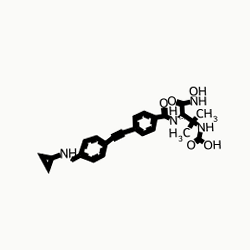 CC(C)(NC(=O)O)[C@H](NC(=O)c1ccc(C#Cc2ccc(CNC3CC3)cc2)cc1)C(=O)NO